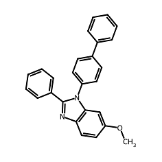 COc1ccc2nc(-c3ccccc3)n(-c3ccc(-c4ccccc4)cc3)c2c1